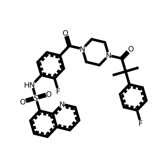 CC(C)(C(=O)N1CCN(C(=O)c2ccc(NS(=O)(=O)c3cccc4cccnc34)c(F)c2)CC1)c1ccc(F)cc1